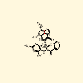 Cc1nc(O)nc(O)c1NN(C(=O)c1ccncc1)S(=O)(=O)N(Nc1c(C)nc(O)nc1O)C(=O)c1ccncc1